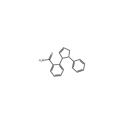 NC(=O)c1ccccc1C1C=CCN1c1ccccc1